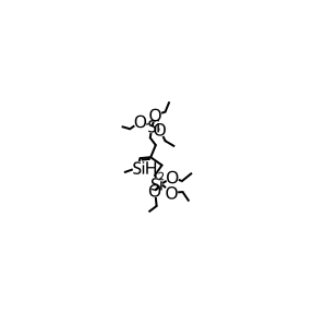 CCO[Si](CCC(=C[SiH2]C)CC[Si](OCC)(OCC)OCC)(OCC)OCC